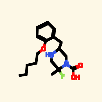 CCCCCOc1ccccc1CC1CN(C(=O)O)C(C)(F)CN1